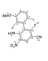 COc1ccc(C)c(-c2c(N)c([N+](=O)[O-])cc(C#N)c2F)c1C